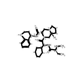 CC[C@H](NC)C(=O)N[C@H](C(=O)N1C[C@H]2CCCN2C[C@H]1C(=O)N[C@@H]1CCOc2ccccc21)C1CCCCC1